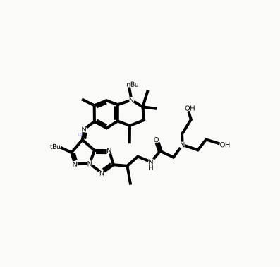 CCCCN1c2cc(C)c(/N=C3/C(C(C)(C)C)=Nn4nc(C(C)CNC(=O)CN(CCO)CCO)nc43)cc2C(C)CC1(C)C